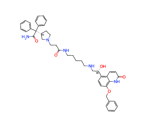 NC(=O)C(c1ccccc1)(c1ccccc1)[C@@H]1CCN(CCC(=O)NCCCCCNC[C@H](O)c2ccc(OCc3ccccc3)c3[nH]c(=O)ccc23)C1